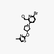 Cc1csc(O[C@H]2CCN(c3ccc(Br)nc3C=O)C2)n1